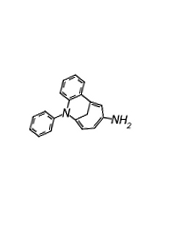 NC1=CC=C2CC(=C1)c1ccccc1N2c1ccccc1